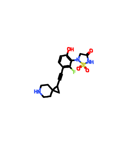 O=C1CN(c2c(O)ccc(C#CC3CC34CCNCC4)c2F)S(=O)(=O)N1